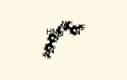 Cc1nn(CC(=O)Nc2ccc(-c3ccc(N(C)C)nc3)cn2)cc1-c1ccnc(CF)c1